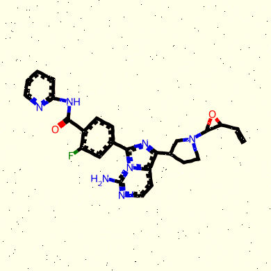 C=CC1OC1N1CCC(c2nc(-c3ccc(C(=O)Nc4ccccn4)c(F)c3)n3c(N)nccc23)C1